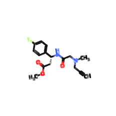 C#CCN(C)CC(=O)N[C@H](CC(=O)OC)c1ccc(F)cc1